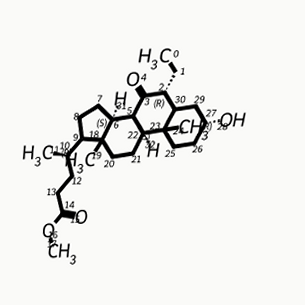 CC[C@H]1C(=O)C2[C@@H]3CCC([C@H](C)CCC(=O)OC)C3(C)CC[C@@H]2C2(C)CC[C@@H](O)CC12